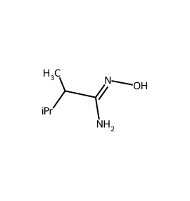 CC(C)C(C)/C(N)=N/O